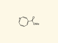 COC(=O)C1=CC=CC=NC=C1